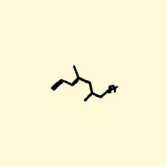 C=CCC(C)CC(C)CC(C)C